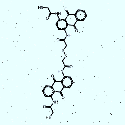 O=C(CS)Nc1cccc2c1C(=O)c1cccc(NC(=O)CSSCC(=O)Nc3ccc(NC(=O)CS)c4c3C(=O)c3ccccc3C4=O)c1C2=O